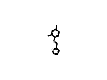 Cc1ccc(N=Cc2ccco2)c(C)c1